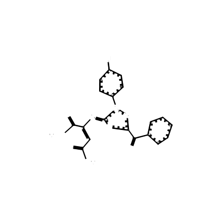 COC(=O)C=C(N=c1sc(C(=O)c2ccccc2)nn1-c1ccc(Cl)cc1)C(=O)OC